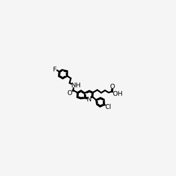 O=C(O)CCCCc1cc2cc(C(=O)NCCc3ccc(F)cc3)ccc2nc1-c1ccc(Cl)cc1